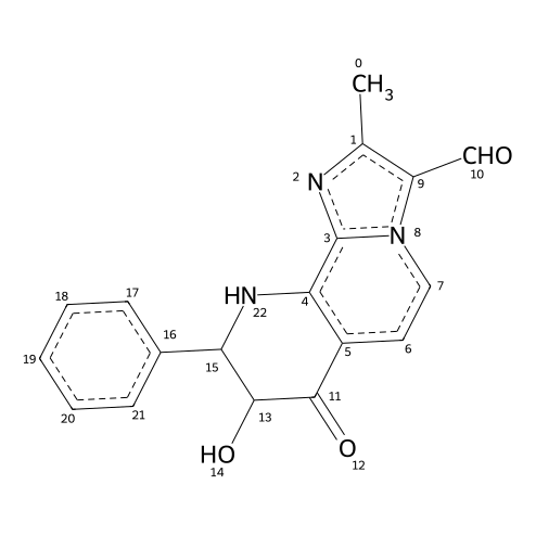 Cc1nc2c3c(ccn2c1C=O)C(=O)C(O)C(c1ccccc1)N3